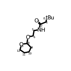 CC(C)(C)CC(=O)NCCOC1CCCCO1